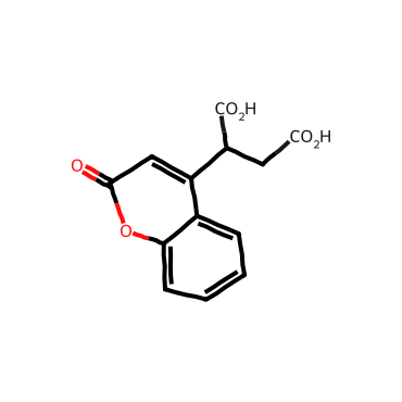 O=C(O)CC(C(=O)O)c1cc(=O)oc2ccccc12